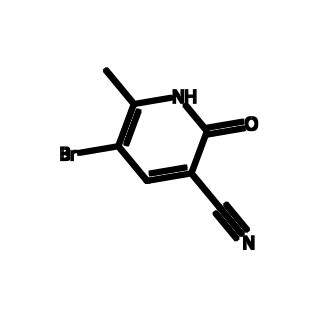 Cc1[nH]c(=O)c(C#N)cc1Br